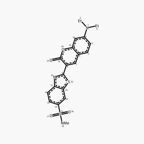 CCN(CC)c1ccc2cc(-c3nc4ccc(S(=O)(=O)NC)cc4s3)c(=O)oc2c1